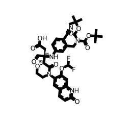 CC(C)(C)OC(=O)N(Cc1cc(N[C@](C=O)(CC(=O)O)[C@H]2OCCN(c3cc4ccc(=O)[nH]c4cc3OC(F)F)C2=O)ccc1C#N)C(=O)OC(C)(C)C